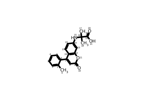 Cc1ccccc1-c1cc(=O)oc2cc(NC(C)(C)C(=O)O)ccc12